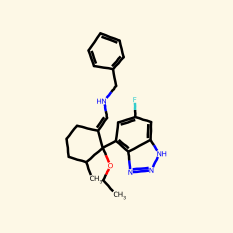 CCOC1(c2cc(F)cc3[nH]nnc23)/C(=C/NCc2ccccc2)CCCC1C